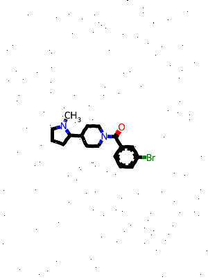 CN1CCCC1C1CCN(C(=O)c2cccc(Br)c2)CC1